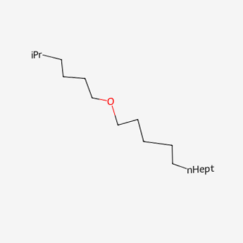 CCCCCCCCCCCCOCCCCC(C)C